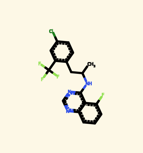 CC(Cc1ccc(Cl)cc1C(F)(F)F)Nc1ncnc2cccc(F)c12